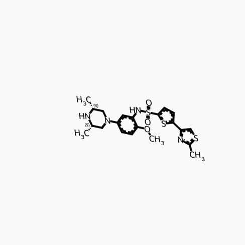 COc1ccc(N2C[C@@H](C)N[C@@H](C)C2)cc1NS(=O)(=O)c1ccc(-c2csc(C)n2)s1